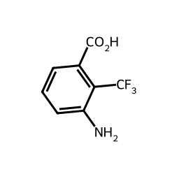 Nc1cccc(C(=O)O)c1C(F)(F)F